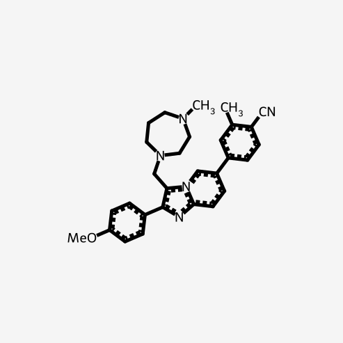 COc1ccc(-c2nc3ccc(-c4ccc(C#N)c(C)c4)cn3c2CN2CCCN(C)CC2)cc1